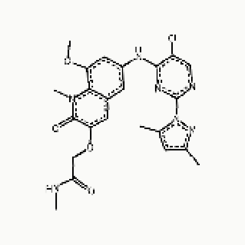 CNC(=O)COc1cc2cc(Nc3nc(-n4nc(C)cc4C)ncc3Cl)cc(OC)c2n(C)c1=O